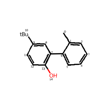 Cc1ccccc1-c1cc(C(C)(C)C)ccc1O